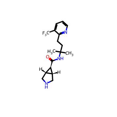 CC(C)(CCc1ncccc1C(F)(F)F)NC(=O)[C@H]1[C@@H]2CNC[C@@H]21